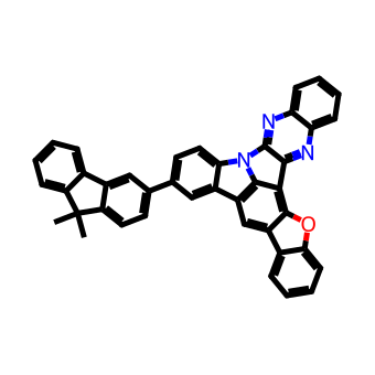 CC1(C)c2ccccc2-c2cc(-c3ccc4c(c3)c3cc5c6ccccc6oc5c5c6nc7ccccc7nc6n4c35)ccc21